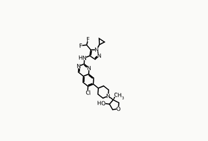 C[C@@]1(N2CCC(c3cc4nc(Nc5cnn(C6CC6)c5C(F)F)ncc4cc3Cl)CC2)COCC1O